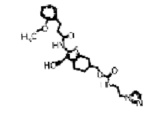 C#Cc1c(NC(=O)CCc2ccccc2OCC)sc2c1CCC(COC(=O)NCCn1ccnc1)C2